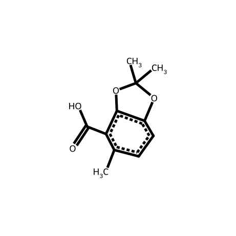 Cc1ccc2c(c1C(=O)O)OC(C)(C)O2